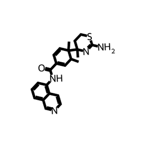 CC1C=C(C(=O)Nc2cccc3cnccc23)C=CC1(C)C1(C)CCSC(N)=N1